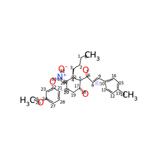 CCCC[C@H]1C(C(=O)/C=C/c2ccc(C)cc2)C(=O)C[C@H](c2ccc(OC)cc2)[C@@H]1[N+](=O)[O-]